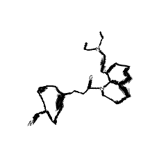 CCN(CC)Cc1cccc2c1N(C(=O)CCc1ccc(C#N)cc1)CCC2